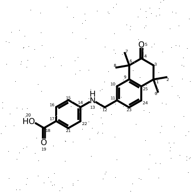 CC1(C)CC(=O)C(C)(C)c2cc(CNc3ccc(C(=O)O)cc3)ccc21